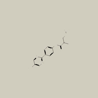 CCCCCCCCc1cnc(-c2ccc(OC(=O)C(C)COCCCCC)cc2)nc1